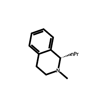 CCC[C@H]1c2ccccc2CCN1C